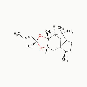 C/C=C/[C@@]1(C)O[C@H]2C[C@]34C[C@H](C(C)(C)C3CC[C@H]4C)[C@@]2(C)O1